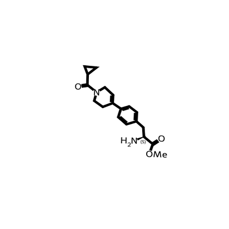 COC(=O)[C@@H](N)Cc1ccc(C2=CCN(C(=O)C3CC3)CC2)cc1